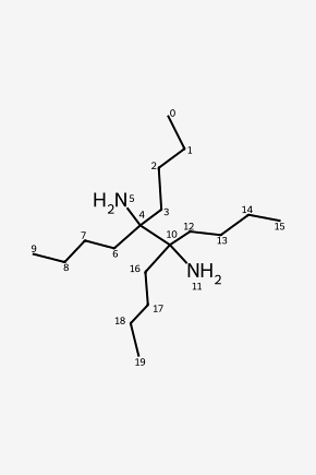 CCCCC(N)(CCCC)C(N)(CCCC)CCCC